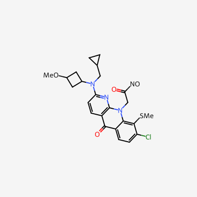 COC1CC(N(CC2CC2)c2ccc3c(=O)c4ccc(Cl)c(SC)c4n(CC(=O)N=O)c3n2)C1